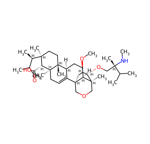 CN[C@@](C)(CO[C@H]1[C@H](OC)C[C@@]23COC[C@@]1(C)[C@@H]2CC[C@H]1C3=CC[C@@]2(C)[C@H](C(=O)O)[C@@](C)([C@H](C)C(C)C)CC[C@]12C)C(C)C